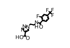 O=C(O)c1cn(CCNC(=O)c2ccc(C(F)(F)F)cc2F)nn1